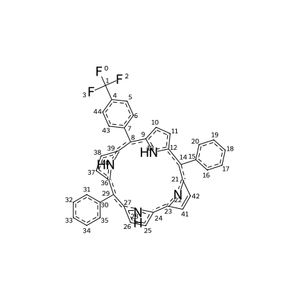 FC(F)(F)c1ccc(-c2c3ccc([nH]3)c(-c3ccccc3)c3nc(c4ccc([nH]4)c(-c4ccccc4)c4ccc2[nH]4)C=C3)cc1